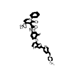 CCOc1ccn(-c2ccccc2)c(=O)c1C(=O)Nc1ccc(Oc2ccnc3cc(-c4ccc(CN5CCN(C)CC5)cn4)sc23)c(F)c1